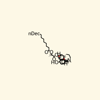 CCCCCCCCCCCCCCCCCC(=O)O[C@@H](C)C(=O)OC1=CC[C@@]2(O)[C@H]3Cc4ccc(O)c5c4[C@@]2(CCCN3C)[C@H]1O5